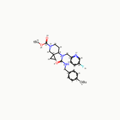 CC(C)COc1ccc(CNC(=O)N(Cc2ccc(F)cn2)C2CCN(C(=O)OC(C)(C)C)CC23CC3)cc1